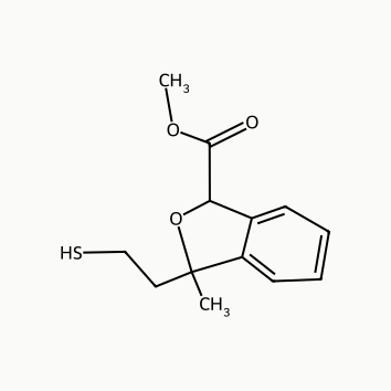 COC(=O)C1OC(C)(CCS)c2ccccc21